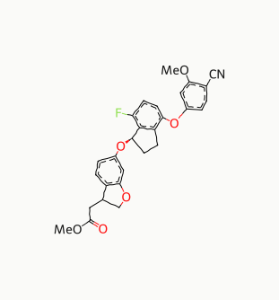 COC(=O)CC1COc2cc(O[C@@H]3CCc4c(Oc5ccc(C#N)c(OC)c5)ccc(F)c43)ccc21